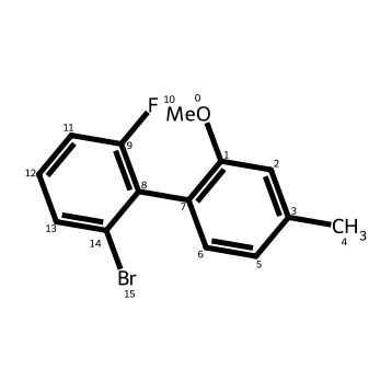 COc1cc(C)ccc1-c1c(F)cccc1Br